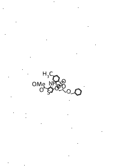 COC(=O)c1scc(OC[C@H](COCc2ccccc2)OS(=O)(=O)c2ccc(C)cc2)c1N